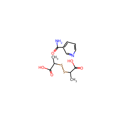 CC(SSC(C)C(=O)O)C(=O)O.NC(=O)c1cccnc1